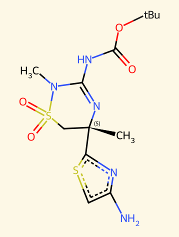 CN1C(NC(=O)OC(C)(C)C)=N[C@](C)(c2nc(N)cs2)CS1(=O)=O